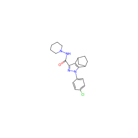 O=C(NN1CCCCC1)c1nn(-c2ccc(Cl)cc2)c2c1C1CCC2C1